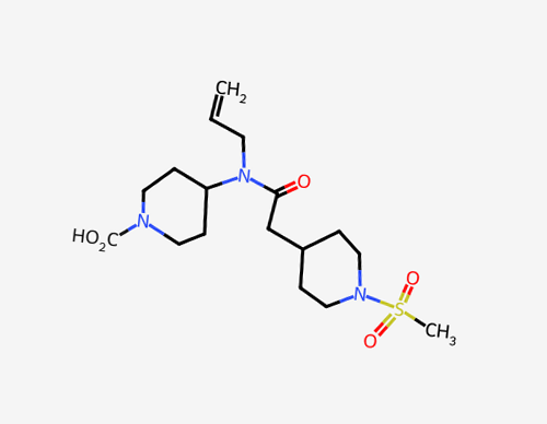 C=CCN(C(=O)CC1CCN(S(C)(=O)=O)CC1)C1CCN(C(=O)O)CC1